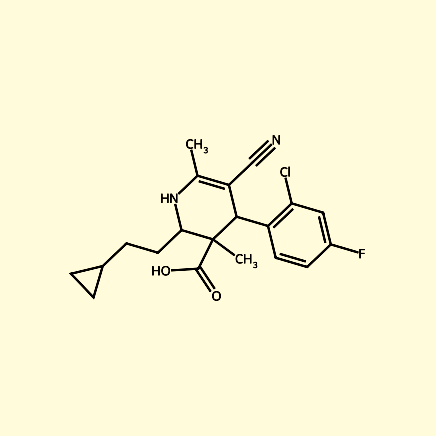 CC1=C(C#N)C(c2ccc(F)cc2Cl)C(C)(C(=O)O)C(CCC2CC2)N1